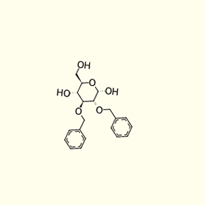 OC[C@H]1O[C@H](O)[C@H](OCc2ccccc2)[C@@H](OCc2ccccc2)[C@@H]1O